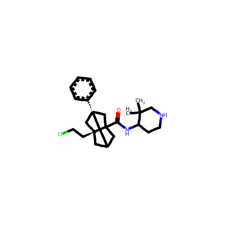 CC1(C)CNCCC1NC(=O)C12CC3C[C@]1(CCCl)C[C@@]3(c1ccccc1)C2